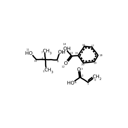 C=CC(=O)O.CC(C)(CO)CO.O=C(O)c1ccccc1